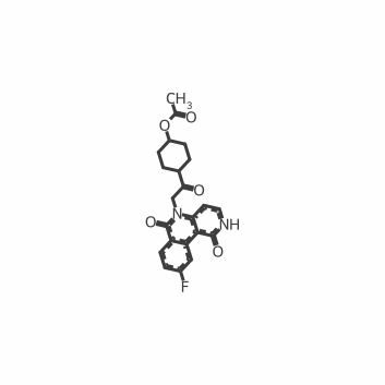 CC(=O)OC1CCC(C(=O)Cn2c(=O)c3ccc(F)cc3c3c(=O)[nH]ccc32)CC1